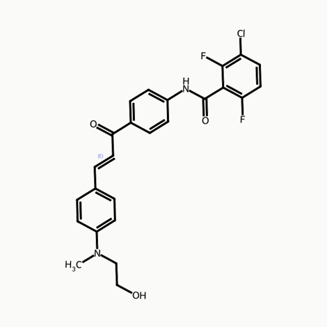 CN(CCO)c1ccc(/C=C/C(=O)c2ccc(NC(=O)c3c(F)ccc(Cl)c3F)cc2)cc1